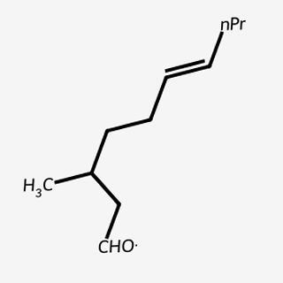 CCC/C=C/CCC(C)C[C]=O